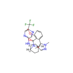 COc1cccc(-c2c(C)cnn2C)c1C(=O)N1[C@@H]2CC[C@H]1[C@H](Nc1cnc(C(F)(F)F)cn1)C2